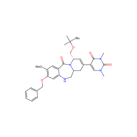 COc1cc2c(cc1OCc1ccccc1)NCC1CC(c3cn(C)c(=O)n(C)c3=O)=C[C@@H](CO[Si](C)(C)C(C)(C)C)N1C2=O